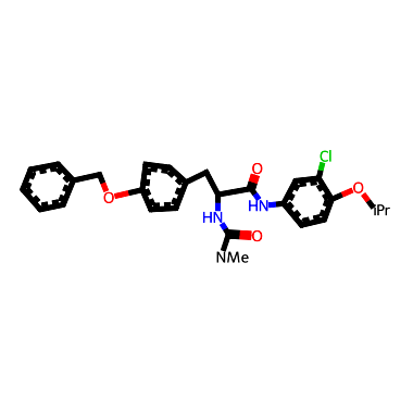 CNC(=O)NC(Cc1ccc(OCc2ccccc2)cc1)C(=O)Nc1ccc(OC(C)C)c(Cl)c1